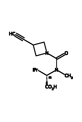 C#CC1CN(C(=O)N(C)[C@H](C(=O)O)C(C)C)C1